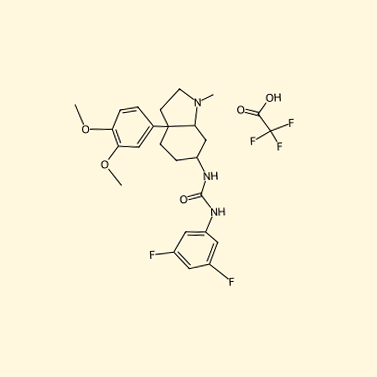 COc1ccc(C23CCC(NC(=O)Nc4cc(F)cc(F)c4)CC2N(C)CC3)cc1OC.O=C(O)C(F)(F)F